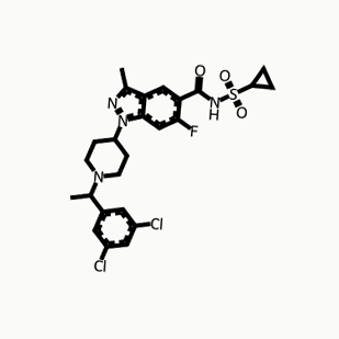 Cc1nn(C2CCN(C(C)c3cc(Cl)cc(Cl)c3)CC2)c2cc(F)c(C(=O)NS(=O)(=O)C3CC3)cc12